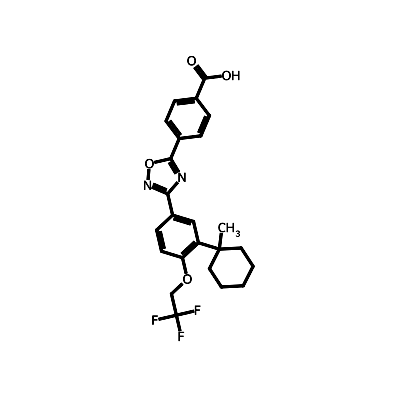 CC1(c2cc(-c3noc(-c4ccc(C(=O)O)cc4)n3)ccc2OCC(F)(F)F)CCCCC1